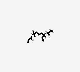 C=CC(=O)OC(C)(C)CCCC(C)(C=C)OC(=O)C=C